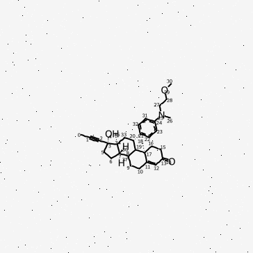 CC#C[C@]1(O)CC[C@H]2[C@@H]3CCC4=CC(=O)CC[C@]4(C)C3[C@@H](c3ccc(N(C)CCOC)cc3)C[C@@]21C